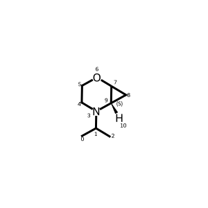 CC(C)N1CCOC2C[C@@H]21